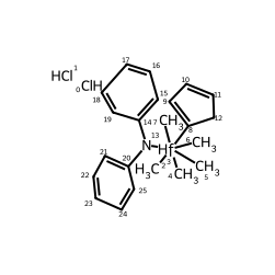 Cl.Cl.[CH3][Hf]([CH3])([CH3])([CH3])([CH3])([C]1=CC=CC1)[N](c1ccccc1)c1ccccc1